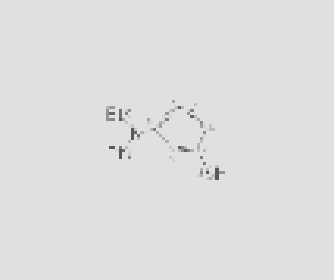 CCN(CC)c1cccc(S)c1